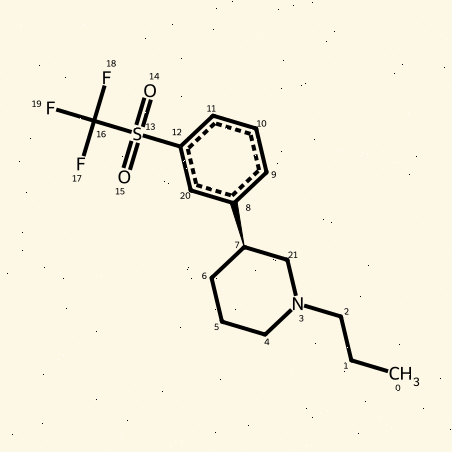 CCCN1CCC[C@@H](c2cccc(S(=O)(=O)C(F)(F)F)c2)C1